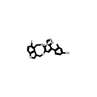 Cc1cc(C#N)ccc1-c1cc2c(n3cnnc13)NCc1c(F)ccc3c1[C@@H](CO3)CO2